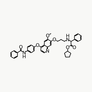 COc1cc2c(Oc3ccc(NC(=O)c4ccccc4)cc3)ccnc2cc1OCCCNC(C(=O)OC1CCCC1)c1ccccc1